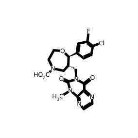 Cn1c(=O)n(C[C@@H]2CN(C(=O)O)CCO[C@H]2c2ccc(Cl)c(F)c2)c(=O)c2nccnc21